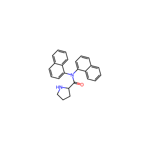 O=C(C1CCCN1)N(c1cccc2ccccc12)c1cccc2ccccc12